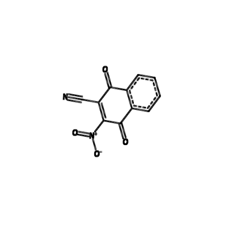 N#CC1=C([N+](=O)[O-])C(=O)c2ccccc2C1=O